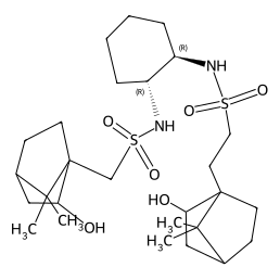 CC1(C)C2CCC1(CCS(=O)(=O)N[C@@H]1CCCC[C@H]1NS(=O)(=O)CC13CCC(CC1O)C3(C)C)C(O)C2